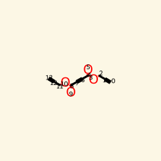 C#CCOC(=O)C#CC(=O)OCC#C